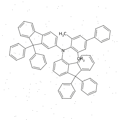 Cc1cc(-c2ccccc2)cc(C)c1N(c1ccc2c(c1)C(c1ccccc1)(c1ccccc1)c1ccccc1-2)c1cccc2c1-c1ccccc1C2(c1ccccc1)c1ccccc1